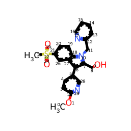 COc1ccc(-c2c(CO)n(Cc3ccccn3)c3ccc(S(C)(=O)=O)cc23)cn1